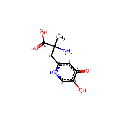 CC(N)(Cc1cc(=O)c(O)c[nH]1)C(=O)O